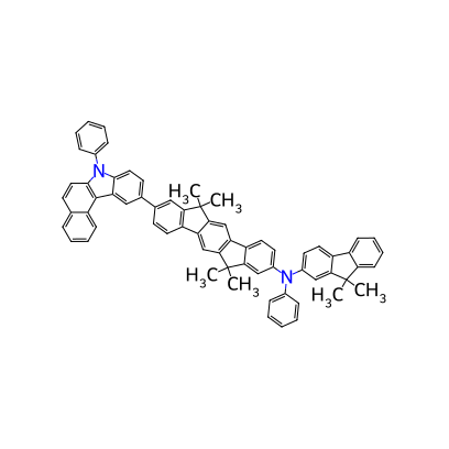 CC1(C)c2ccccc2-c2ccc(N(c3ccccc3)c3ccc4c(c3)C(C)(C)c3cc5c(cc3-4)C(C)(C)c3cc(-c4ccc6c(c4)c4c7ccccc7ccc4n6-c4ccccc4)ccc3-5)cc21